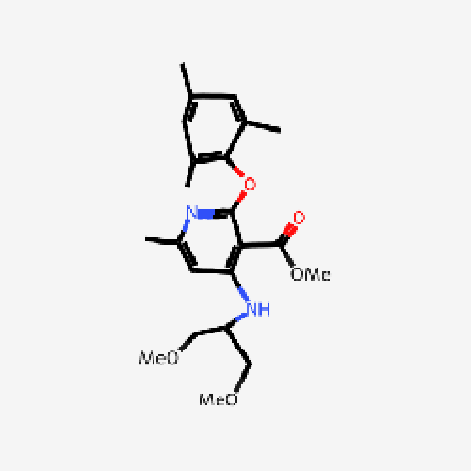 COCC(COC)Nc1cc(C)nc(Oc2c(C)cc(C)cc2C)c1C(=O)OC